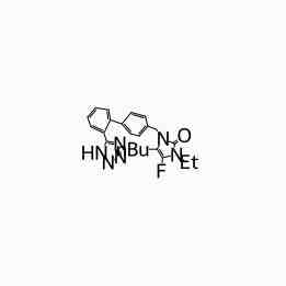 CCCCc1c(F)n(CC)c(=O)n1Cc1ccc(-c2ccccc2-c2nnn[nH]2)cc1